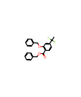 CC(F)(F)c1ccc(C(=O)OCc2ccccc2)c(OCc2ccccc2)c1